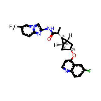 CC(C(=O)Nc1cn2cc(C(F)(F)F)ccc2n1)[C@@H]1[C@@H]2C[C@@H](Oc3ccnc4ccc(F)cc34)C[C@@H]21